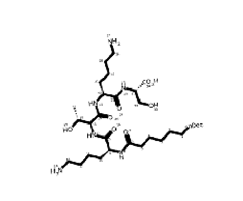 CCCCCCCCCCCCCCCC(=O)N[C@@H](CCCCN)C(=O)N[C@H](C(=O)N[C@@H](CCCCN)C(=O)N[C@@H](CO)C(=O)O)[C@@H](C)O